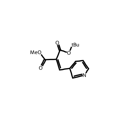 COC(=O)C(=Cc1cccnc1)C(=O)OC(C)(C)C